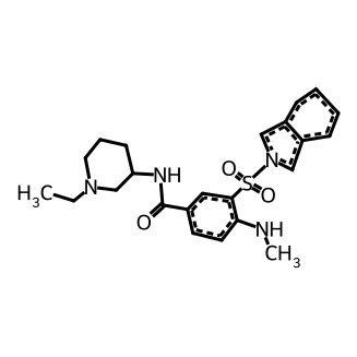 CCN1CCCC(NC(=O)c2ccc(NC)c(S(=O)(=O)n3cc4ccccc4c3)c2)C1